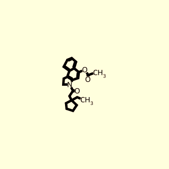 CCC1(CC(=O)N2CCc3c2cc(OC(C)=O)c2ccccc32)CCCC1